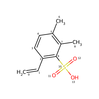 C=Cc1ccc(C)c(C)c1S(=O)(=O)O